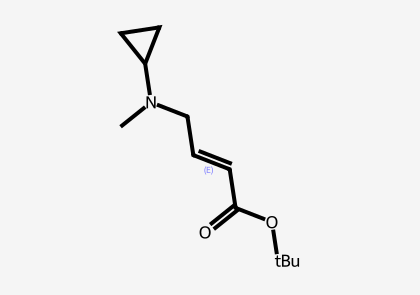 CN(C/C=C/C(=O)OC(C)(C)C)C1CC1